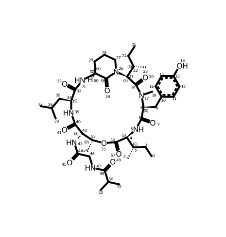 CC[C@H](C)[C@@H]1NC(=O)[C@H](Cc2ccc(O)cc2)N(C)C(=O)[C@H]([C@@H](C)CC)N2CCC[C@H](NC(=O)[C@H](CC(C)C)NC(=O)[C@@H](NC(=O)CNC(=O)C(C)C)[C@@H](C)OC1=O)C2=O